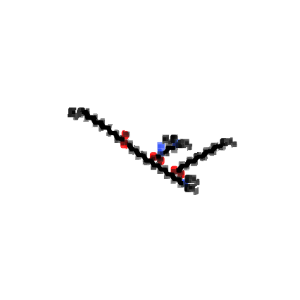 CCCCCCCCCCCC(=O)OCCCCCCC(CCCCCC(CCCN(C)C)OC(=O)CCCCCCCCCCC)OC(=O)NCCCN(C)C